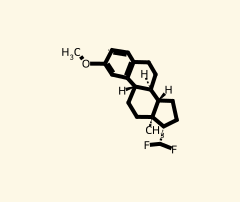 COc1[c]cc2c(c1)[C@H]1CC[C@]3(C)[C@@H](C(F)F)CC[C@H]3[C@@H]1CC2